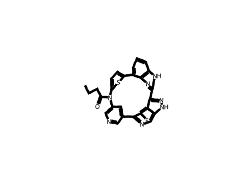 CCCC(=O)n1c2cncc(c2)c2ncc3[nH]nc(c4nc5c(cccc5c5ccc1s5)[nH]4)c3c2F